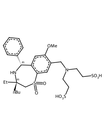 CCCC[C@]1(CC)CS(=O)(=O)c2cc(CN(CCS(=O)(=O)O)CCS(=O)(=O)O)c(OC)cc2[C@@H](c2ccccc2)N1